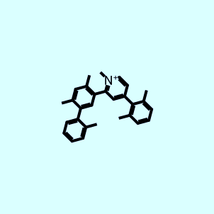 Cc1ccccc1-c1cc(-c2cc(-c3c(C)cccc3C)cc[n+]2C)c(C)cc1C